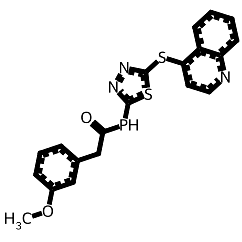 COc1cccc(CC(=O)Pc2nnc(Sc3ccnc4ccccc34)s2)c1